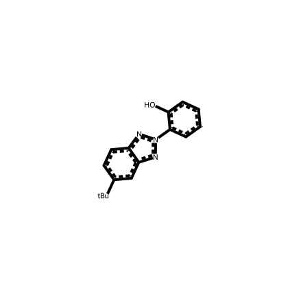 CC(C)(C)c1ccc2nn(-c3c[c]ccc3O)nc2c1